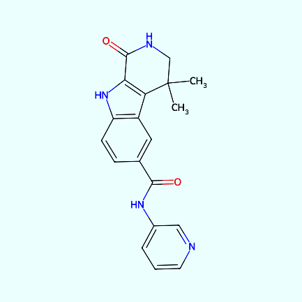 CC1(C)CNC(=O)c2[nH]c3ccc(C(=O)Nc4cccnc4)cc3c21